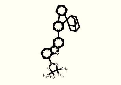 CC1(C)OB(c2cccc3c2oc2ccc(-c4ccc5c(c4)C4(c6ccccc6-5)C5CC6CC(C5)CC4C6)cc23)OC1(C)C